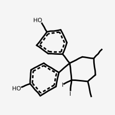 CC1CC(C)C(I)(I)C(c2ccc(O)cc2)(c2ccc(O)cc2)C1